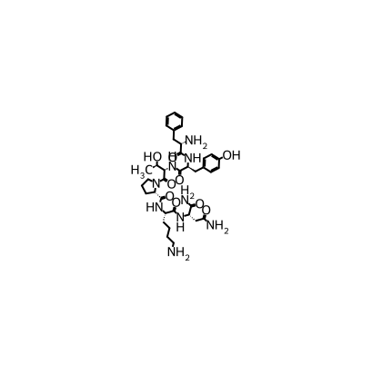 C[C@@H](O)[C@H](NC(=O)[C@H](Cc1ccc(O)cc1)NC(=O)[C@@H](N)Cc1ccccc1)C(=O)N1CCC[C@H]1C(=O)N[C@@H](CCCCN)C(=O)N[C@@H](CC(N)=O)C(N)=O